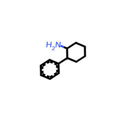 NC1CCCC[C]1c1ccccc1